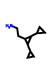 NCCC1C(C2CC2)C1C1CC1